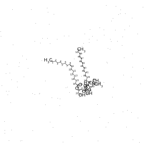 CCCCCCCC/C=C\CCCCCCCC(=O)OC(CO)COP(=O)(O)OC(C[N+](C)(C)C)C(=O)CCCCCCCCCCCCCCC